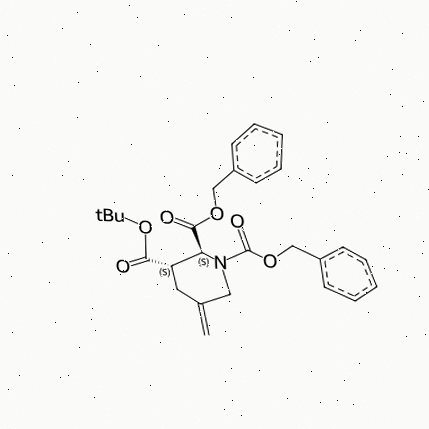 C=C1C[C@H](C(=O)OC(C)(C)C)[C@@H](C(=O)OCc2ccccc2)N(C(=O)OCc2ccccc2)C1